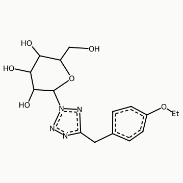 CCOc1ccc(Cc2nnn(C3OC(CO)C(O)C(O)C3O)n2)cc1